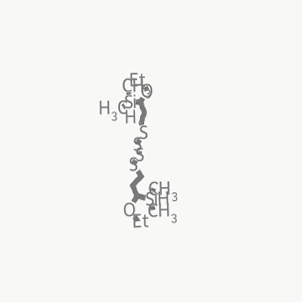 CCOC(CCSSSSCCC(OCC)[SiH](C)C)[SiH](C)C